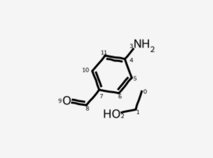 CCO.Nc1ccc(C=O)cc1